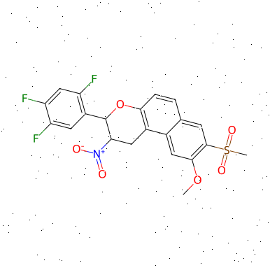 COc1cc2c3c(ccc2cc1S(C)(=O)=O)OC(c1cc(F)c(F)cc1F)C([N+](=O)[O-])C3